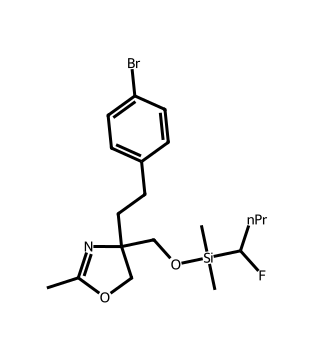 CCCC(F)[Si](C)(C)OCC1(CCc2ccc(Br)cc2)COC(C)=N1